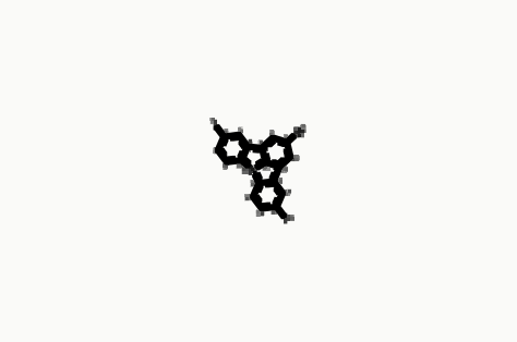 Brc1cc2c3cc(I)ccc3n3c4ccc(I)cc4c(c1)c23